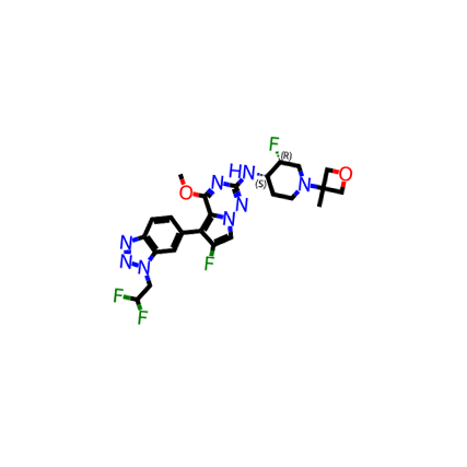 COc1nc(N[C@H]2CCN(C3(C)COC3)C[C@H]2F)nn2cc(F)c(-c3ccc4nnn(CC(F)F)c4c3)c12